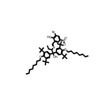 CCCCCCCCOc1c(C(C)(C)C)cc(C(O)(c2cc(C(C)(C)C)c(OCCCCCCCC)c(C(C)(C)C)c2)C(CC)N=Cc2cc([N+](=O)[O-])cc(Br)c2O)cc1C(C)(C)C